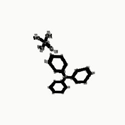 C1CCC(N(C2CCCCC2)C2CCCCC2)CC1.O=P(O)(O)O